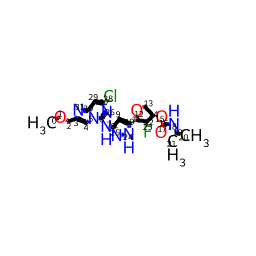 COCc1cn2c(Nc3cc([C@@H]4OC[C@H](OC(=O)NC(C)C)[C@@H]4F)[nH]n3)nc(Cl)cc2n1